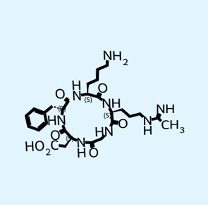 CC(=N)NCCC[C@@H]1NC(=O)[C@H](CCCCN)NC(=O)[C@@H](Cc2ccccc2)NC(=O)[C@H](CC(=O)O)NC(=O)CNC1=O